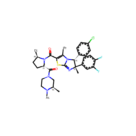 CC[C@@H]1CC[C@@H](C(=O)N2CCN(C(C)=O)[C@H](C)C2)N1C(=O)C1=C(C(C)C)N2C(=N[C@@](C)(c3ccc(F)c(F)c3)[C@H]2c2ccc(Cl)cc2)S1